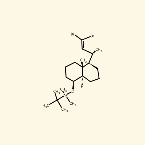 C[C@H](C=C(Br)Br)[C@H]1CCC[C@H]2[C@@H](O[Si](C)(C)C(C)(C)C)CCC[C@]12C